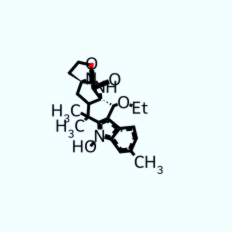 CCOC1c2c(n(O)c3cc(C)ccc23)C(C)(C)C2C[C@]34CCCN3C(=O)[C@]12NC4=O